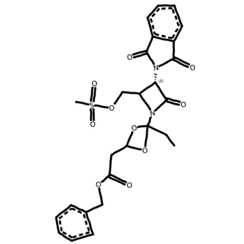 CCC1(N2C(=O)[C@@H](N3C(=O)c4ccccc4C3=O)C2COS(C)(=O)=O)OC(CC(=O)OCc2ccccc2)O1